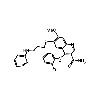 CCc1ccccc1Nc1c(C(N)=O)cnc2cc(OC)c(OCCCNc3ccccn3)cc12